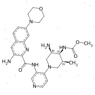 COC(=O)N[C@@H]1[C@H](N)CN(c2ccncc2NC(=O)c2nc3cc(N4CCOCC4)ccc3cc2N)C[C@@H]1C